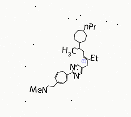 CCCC1CCCC(C(C)C/C=C(\CC)Cc2cnc(C3=CC=C(CCNC)C=CC3)nc2)CC1